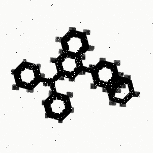 c1ccc(N(c2ccccc2)c2cc(-c3ccc4c(c3)C3CCC4CC3)c3ccccc3c2)cc1